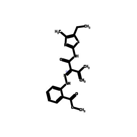 C=C(C)/C(=N\Nc1ccccc1C(=O)OC)C(=O)Nc1nc(C)c(CC)s1